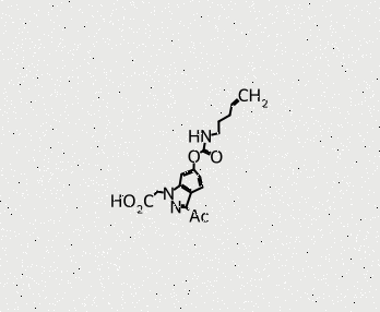 C=CCCCNC(=O)Oc1ccc2c(C(C)=O)nn(CC(=O)O)c2c1